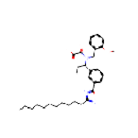 CCCCCCCCCCCc1noc(-c2cccc(C(CC)N(Cc3ccccc3OC)C(=O)C(=O)O)c2)n1